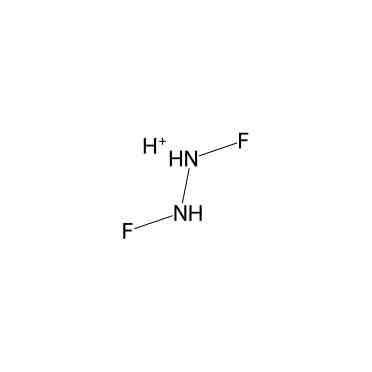 FNNF.[H+]